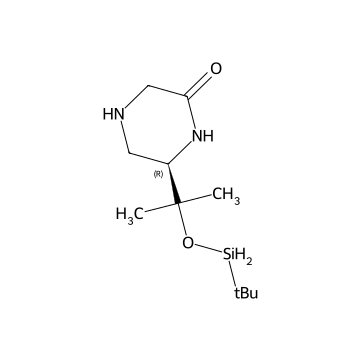 CC(C)(C)[SiH2]OC(C)(C)[C@H]1CNCC(=O)N1